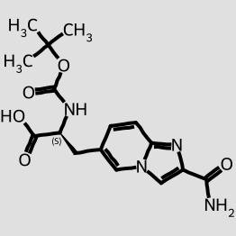 CC(C)(C)OC(=O)N[C@@H](Cc1ccc2nc(C(N)=O)cn2c1)C(=O)O